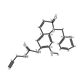 C#CCNC(=O)Nc1cc2ccc(=O)n(Cc3ccccn3)c2cc1OC